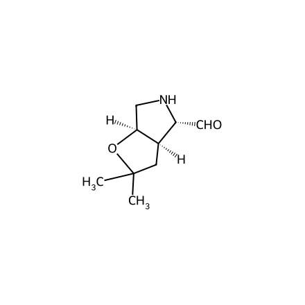 CC1(C)C[C@H]2[C@H](CN[C@@H]2C=O)O1